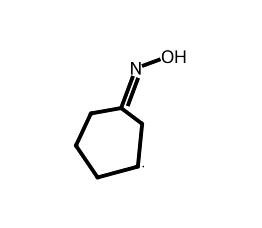 O/N=C1\C[CH]CCC1